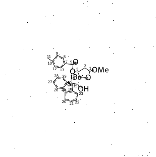 CO[C@@H]1C[C@H](OC(=O)c2ccc(C)cc2)[C@@H](C(O)[Si](c2ccccc2)(c2ccccc2)C(C)(C)C)O1